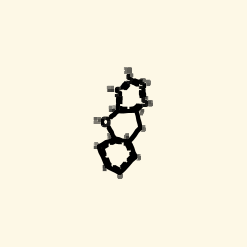 c1ccc2c(c1)Cc1ssssc1O2